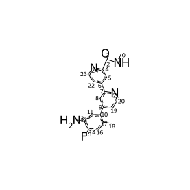 CNC(=O)c1cc(-c2cc(-c3cc(N)c(F)cc3C)ccn2)ccn1